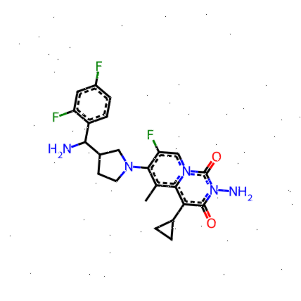 Cc1c(N2CCC(C(N)c3ccc(F)cc3F)C2)c(F)cn2c(=O)n(N)c(=O)c(C3CC3)c12